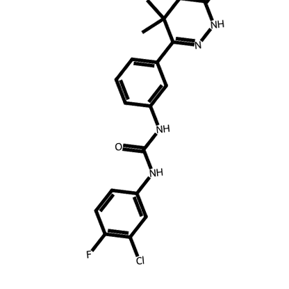 CC1(C)CC(=O)NN=C1c1cccc(NC(=O)Nc2ccc(F)c(Cl)c2)c1